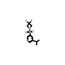 CC(C)c1cncc(S(=O)(=O)N2CC(F)(F)C2)c1